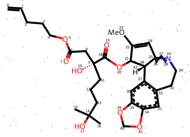 C=CCCCOC(=O)C[C@](O)(CCCC(C)(C)O)C(=O)OC1C(OC)=CC23CCCN2CCc2cc4c(cc2[C@H]13)OCO4